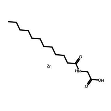 CCCCCCCCCCCC(=O)NCC(=O)O.[Zn]